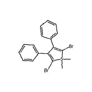 CS1(C)C(Br)=C(c2ccccc2)C(c2ccccc2)=C1Br